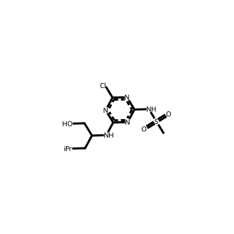 CC(C)CC(CO)Nc1nc(Cl)nc(NS(C)(=O)=O)n1